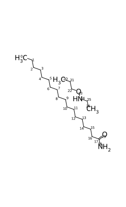 CCCCCCCCCCCCCCCCCC(N)=O.CCCONCC